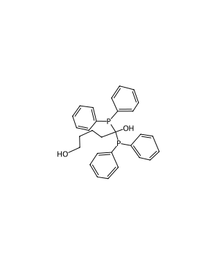 OCCCCC(O)(P(c1ccccc1)c1ccccc1)P(c1ccccc1)c1ccccc1